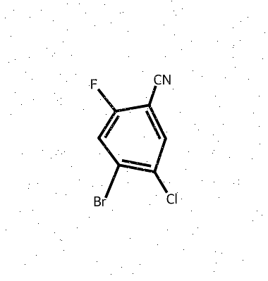 N#Cc1cc(Cl)c(Br)cc1F